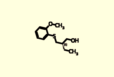 CC[C@@H](CO)CSc1ccccc1OC